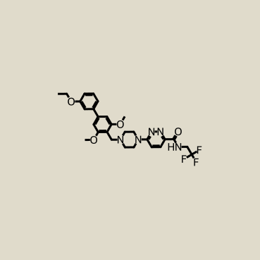 CCOc1cccc(-c2cc(OC)c(CN3CCN(c4ccc(C(=O)NCC(F)(F)F)nn4)CC3)c(OC)c2)c1